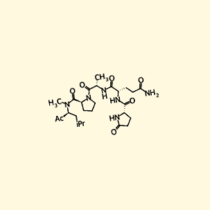 CC(=O)[C@H](CC(C)C)N(C)C(=O)[C@@H]1CCCN1C(=O)[C@H](C)NC(=O)[C@H](CCC(N)=O)NC(=O)[C@@H]1CCC(=O)N1